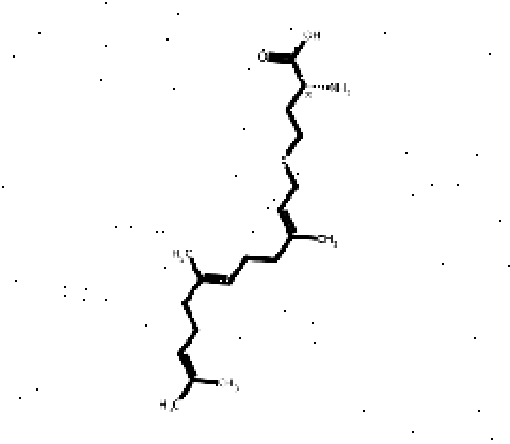 CC(C)=CCCC(C)=CCCC(C)=CCSCC[C@@H](N)C(=O)O